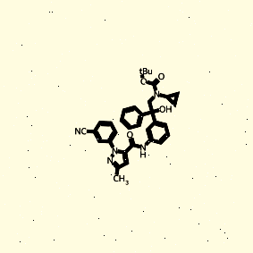 Cc1cc(C(=O)Nc2cccc(C(O)(CN(C(=O)OC(C)(C)C)C3CC3)c3ccccc3)c2)n(-c2cccc(C#N)c2)n1